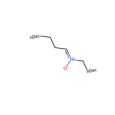 CCCCCCCCCCCCC=[N+]([O-])CCCCCCCCCCC